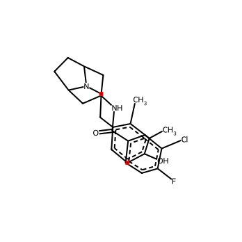 Cc1c(O)ccc(CCN2C3CCC2CC(NC(=O)c2ccc(F)c(Cl)c2)C3)c1C